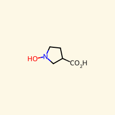 O=C(O)C1CCN(O)C1